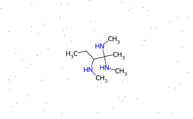 CCC(NC)C(C)(NC)NC